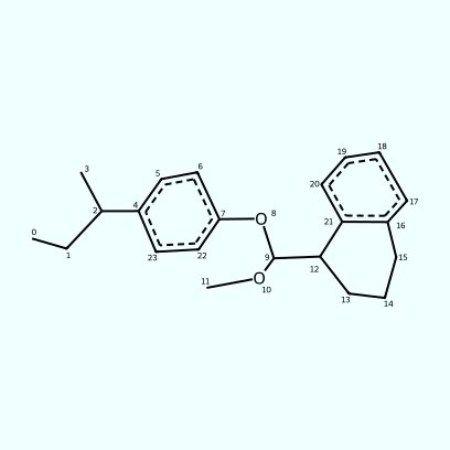 CCC(C)c1ccc(OC(OC)C2CCCc3ccccc32)cc1